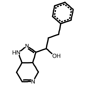 OC(CCc1ccccc1)C1=NNC2CC=NCC12